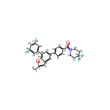 CCc1cc2cc(-c3ccc(C(=O)N4CCC(F)(F)CC4)cc3)cc(-c3cc(F)cc(F)c3)c2o1